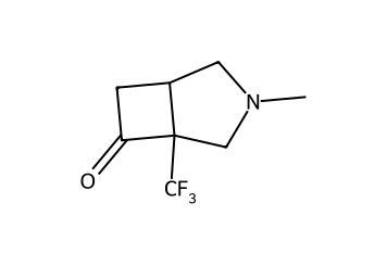 CN1CC2CC(=O)C2(C(F)(F)F)C1